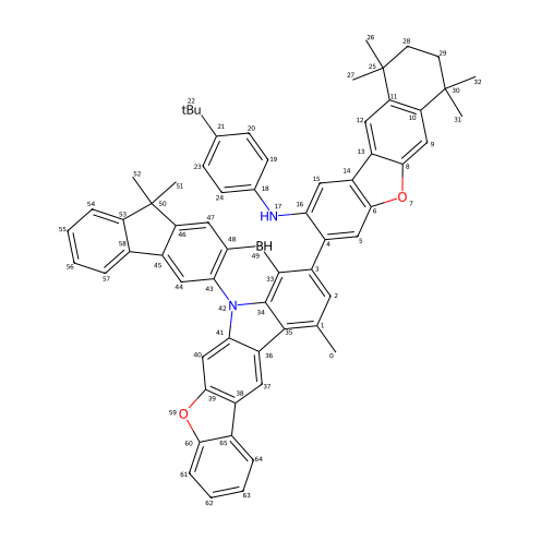 Cc1cc(-c2cc3oc4cc5c(cc4c3cc2Nc2ccc(C(C)(C)C)cc2)C(C)(C)CCC5(C)C)c2c3c1c1cc4c(cc1n3-c1cc3c(cc1B2)C(C)(C)c1ccccc1-3)oc1ccccc14